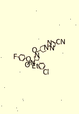 CCN(C(=O)Oc1ccc(F)cc1)[C@H]1CN(C(=O)C2CCN(c3ncc(C#N)cn3)CC2)C[C@@H]1c1ccc(Cl)cc1